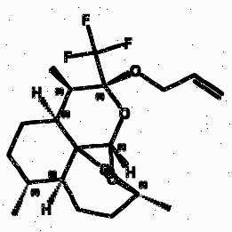 C=CCO[C@@]1(C(F)(F)F)O[C@@H]2O[C@]3(C)CC[C@H]4[C@H](C)CC[C@@H]([C@H]1C)C24OO3